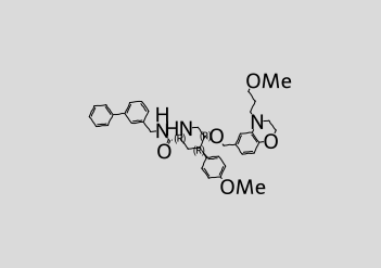 COCCCN1CCOc2ccc(CO[C@H]3CN[C@@H](C(=O)NCc4cccc(-c5ccccc5)c4)C[C@@H]3c3ccc(OC)cc3)cc21